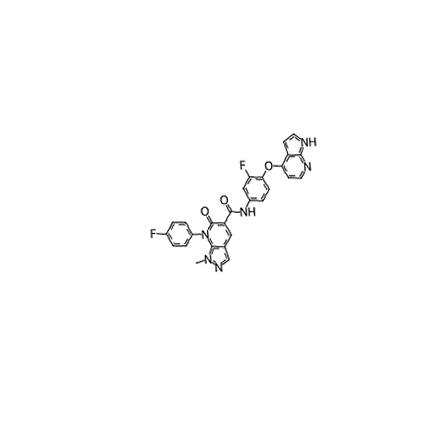 Cn1ncc2cc(C(=O)Nc3ccc(Oc4ccnc5[nH]ccc45)c(F)c3)c(=O)n(-c3ccc(F)cc3)c21